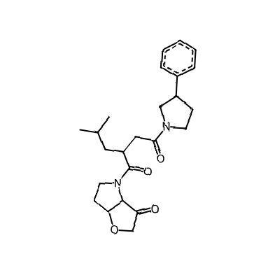 CC(C)CC(CC(=O)N1CCC(c2ccccc2)C1)C(=O)N1CCC2OCC(=O)C21